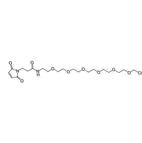 CCOCCOCCOCCOCCOCCOCCNC(=O)CCN1C(=O)C=CC1=O